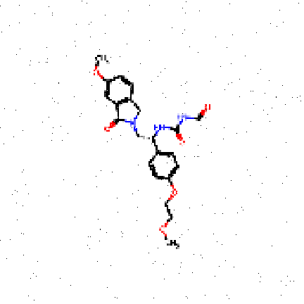 COCCOc1ccc([C@H](CN2Cc3ccc(OC)cc3C2=O)NC(=O)NC=O)cc1